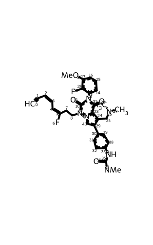 C#C/C=C\C=C(\F)CCn1c(=O)n(-c2cccc(OC)c2F)c(=O)c2c(CN(C)C)c(-c3ccc(NC(=O)NC)cc3)cn21